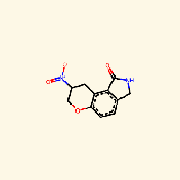 O=C1NCc2ccc3c(c21)CC([N+](=O)[O-])CO3